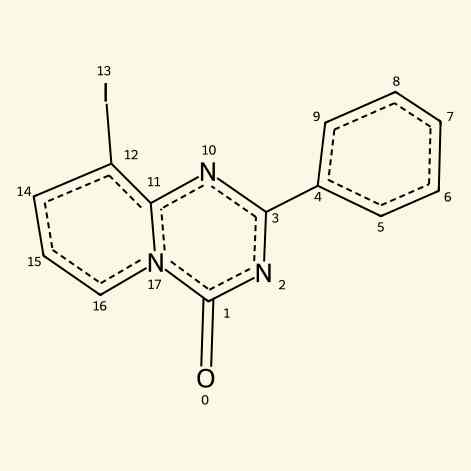 O=c1nc(-c2ccccc2)nc2c(I)cccn12